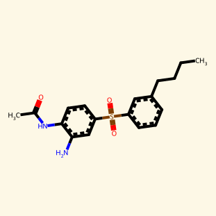 CCCCc1cccc(S(=O)(=O)c2ccc(NC(C)=O)c(N)c2)c1